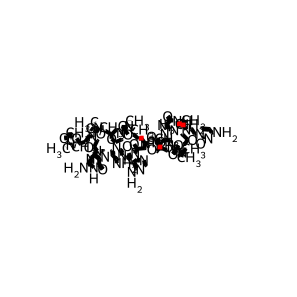 CC(C)N1CC(COP(=O)(N(C)C)N2CC(COP(=O)(N(C)C)N3CC(COP(=O)(N(C)C)N4CC(COP(=O)(N(C)C)N5CC(COP(C)(=O)N(C)C)OC(n6cnc7c(=O)[nH]c(N)nc76)C5)OC(n5ccc(N)nc5=O)C4)OC(n4cnc5c(N)ncnc54)C3)OC(n3cnc4c(=O)[nH]c(N)nc43)C2)OC(n2ccc(N)nc2=O)C1